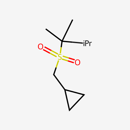 CC(C)C(C)(C)S(=O)(=O)CC1CC1